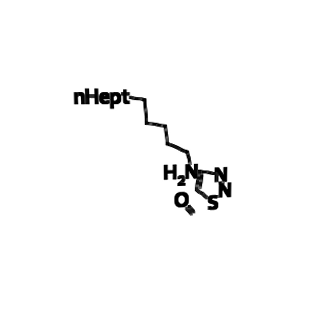 C=O.CCCCCCCCCCCCN.c1csnn1